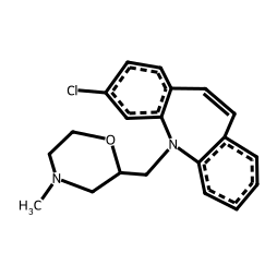 CN1CCOC(CN2c3ccccc3C=Cc3ccc(Cl)cc32)C1